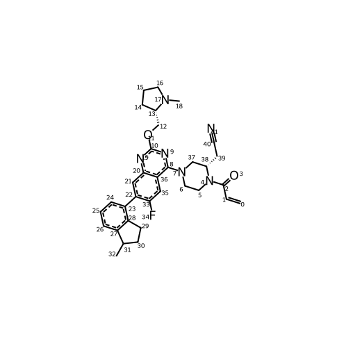 C=CC(=O)N1CCN(c2nc(OC[C@@H]3CCCN3C)nc3cc(-c4cccc5c4CCC5C)c(F)cc23)C[C@@H]1CC#N